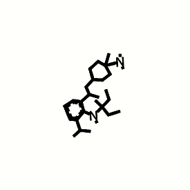 CCC(C)(CC)N(C)c1c(C(C)C)cccc1C(C)CC1CCC(C)(N(C)C)CC1